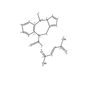 CC(=O)N1Cc2cccn2N(C)c2ccncc21.O=C(O)C=CC(=O)O